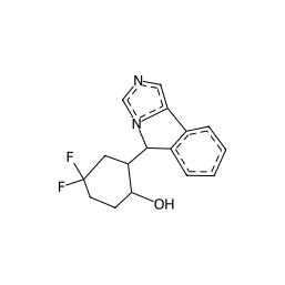 OC1CCC(F)(F)CC1C1c2ccccc2-c2cncn21